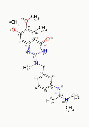 COc1cc2nc(N(C)Cc3cccc(/N=C(\C)N(C)C)c3)[nH]c(=O)c2c(C)c1OC